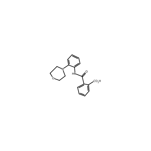 O=C(O)c1ccccc1C(=O)Nc1ccccc1N1CCOCC1